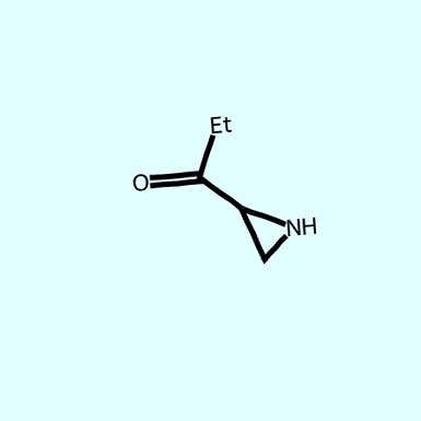 CCC(=O)C1CN1